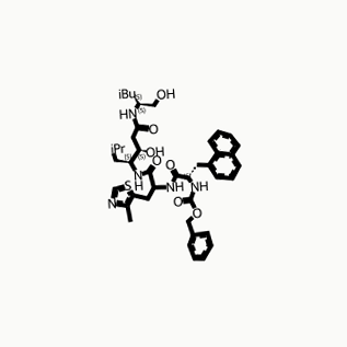 CC[C@H](C)[C@@H](CO)NC(=O)C[C@H](O)[C@H](CC(C)C)NC(=O)C(Cc1scnc1C)NC(=O)[C@H](Cc1cccc2ccccc12)NC(=O)OCc1ccccc1